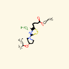 COC(=O)CCc1cnc(N2CC[C@H](OC(C)C)C2)s1.Cl